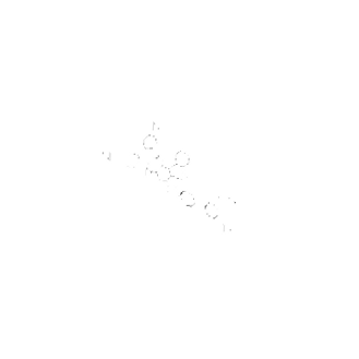 N#Cc1ccc(-c2nc3cc(C(F)(F)F)c4c(-c5cccc(-c6cc(C#N)cc(C#N)c6)c5)nc5ccccc5c4c3nc2-c2ccc(C#N)cc2)cc1